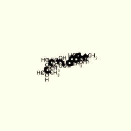 C=C1C=C(C2CCC3(O)C4CCC5CC(OC6CC(O)C(OC7CC(O)C(OC8CC(O)C(O)C(C)O8)C(C)O7)C(C)O6)CCC5(C)C4CC(O)C23C)CO1